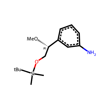 CO[C@@H](CO[Si](C)(C)C(C)(C)C)c1cccc(N)c1